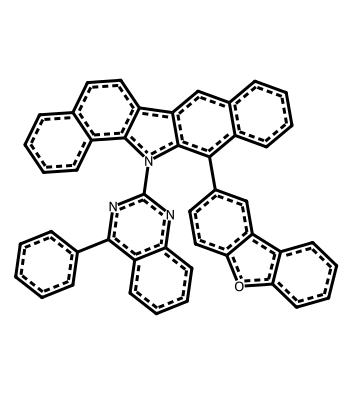 c1ccc(-c2nc(-n3c4c(-c5ccc6oc7ccccc7c6c5)c5ccccc5cc4c4ccc5ccccc5c43)nc3ccccc23)cc1